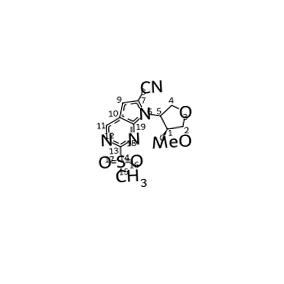 CO[C@@H]1COCC1n1c(C#N)cc2cnc(S(C)(=O)=O)nc21